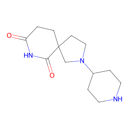 O=C1CCC2(CCN(C3CCNCC3)C2)C(=O)N1